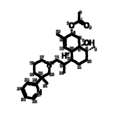 CC(=O)O[C@@H]1[CH][C@@]2(O)[C@H](C)CC[C@@H](C(C)CN3CCCC(C)(c4ccccn4)C3)[C@H]2C=C1C